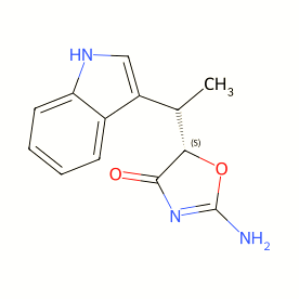 CC(c1c[nH]c2ccccc12)[C@@H]1OC(N)=NC1=O